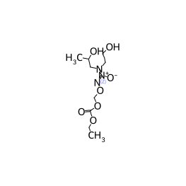 CCOC(=O)OCO/N=[N+](\[O-])N(CCO)CC(C)O